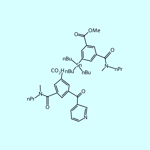 CCCN(C)C(=O)c1cc(C(=O)O)cc(C(=O)c2cccnc2)c1.CCC[CH2][Sn]([CH2]CCC)([CH2]CCC)[c]1cc(C(=O)OC)cc(C(=O)N(C)CCC)c1